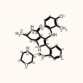 Cc1c(Cl)cccc1Nc1c(-c2ccncc2OC[C@@H]2COCCN2)[nH]c2c1C(=O)NC(C)C2